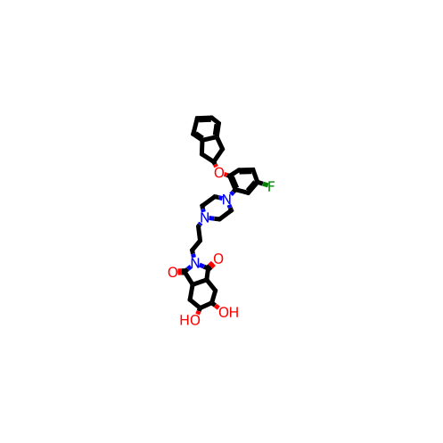 O=C1C2CC(O)C(O)CC2C(=O)N1CCCN1CCN(c2cc(F)ccc2OC2Cc3ccccc3C2)CC1